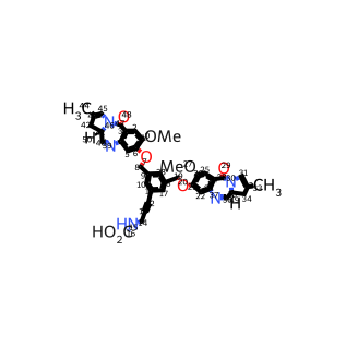 COc1cc2c(cc1OCc1cc(C#CCNC(=O)O)cc(COc3cc4c(cc3OC)C(=O)N3C=C(C)C[C@H]3C=N4)c1)N=C[C@@H]1CC(C)=CN1C2=O